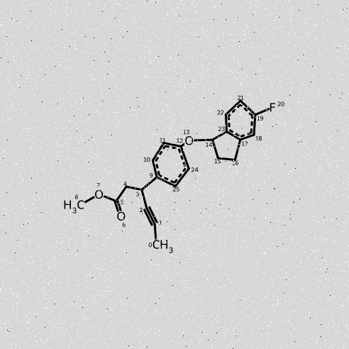 CC#CC(CC(=O)OC)c1ccc(OC2CCc3cc(F)ccc32)cc1